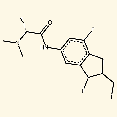 C[C@H](C(=O)Nc1cc(F)c2c(c1)C(F)C(CI)C2)N(C)C